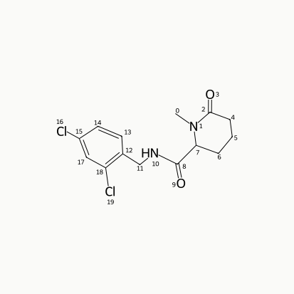 CN1C(=O)CCCC1C(=O)NCc1ccc(Cl)cc1Cl